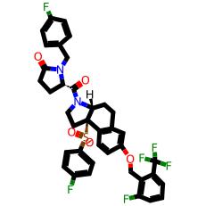 O=C1CC[C@@H](C(=O)N2CC[C@@]3(S(=O)(=O)c4ccc(F)cc4)c4ccc(OCc5c(F)cccc5C(F)(F)F)cc4CC[C@@H]23)N1Cc1ccc(F)cc1